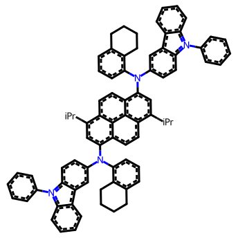 CC(C)c1cc(N(c2ccc3c(c2)c2ccccc2n3-c2ccccc2)c2cccc3c2CCCC3)c2ccc3c(C(C)C)cc(N(c4ccc5c(c4)c4ccccc4n5-c4ccccc4)c4cccc5c4CCCC5)c4ccc1c2c34